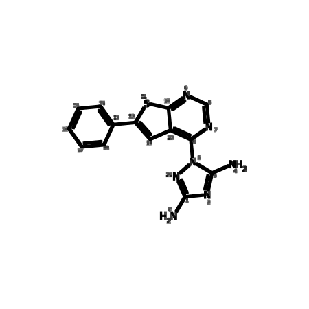 Nc1nc(N)n(-c2ncnc3sc(-c4ccccc4)cc23)n1